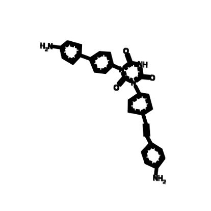 Nc1ccc(C#Cc2ccc(-n3c(=O)[nH]c(=O)n(-c4ccc(-c5ccc(N)cc5)cc4)c3=O)cc2)cc1